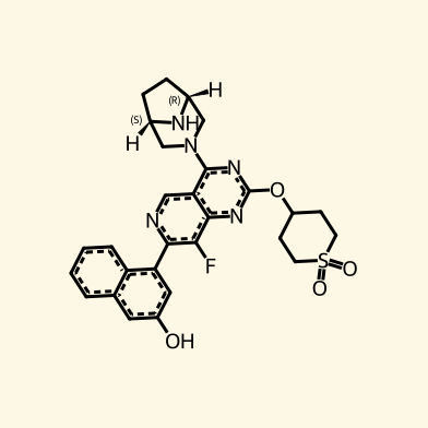 O=S1(=O)CCC(Oc2nc(N3C[C@H]4CC[C@@H](C3)N4)c3cnc(-c4cc(O)cc5ccccc45)c(F)c3n2)CC1